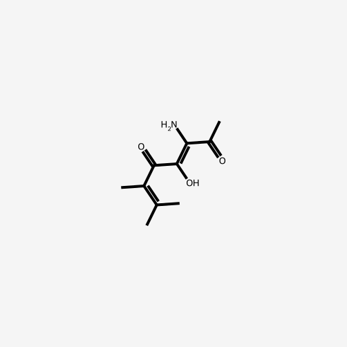 CC(=O)/C(N)=C(\O)C(=O)C(C)=C(C)C